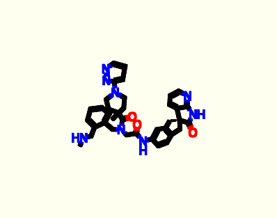 CNCc1ccccc1CN(CC(=O)Nc1ccc2c(c1)C[C@@]1(C2)C(=O)Nc2ncccc21)C(=O)C1(C)CCN(c2cccnn2)CC1